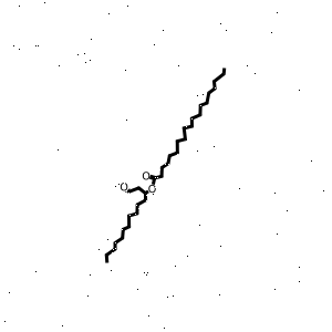 CCCCCCCCCCCCCCCCCCC(=O)OC(C[C]=O)CCCCCCCCCCC